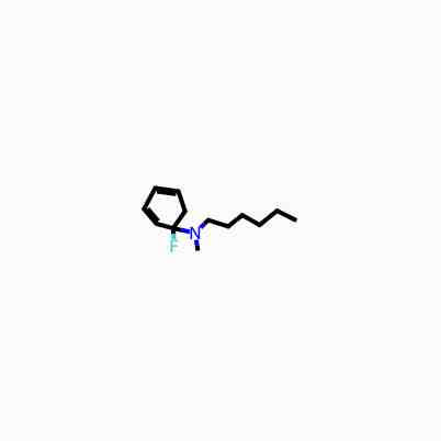 CCCCCCN(C)C1(F)C=CC=CC1